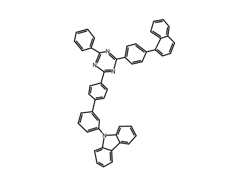 c1ccc(-c2nc(-c3ccc(-c4cccc(-n5c6ccccc6c6ccccc65)c4)cc3)nc(-c3ccc(-c4cccc5ccccc45)cc3)n2)cc1